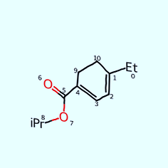 CCC1=CC=C(C(=O)OC(C)C)CC1